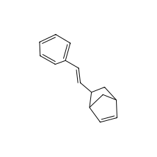 C(=CC1CC2C=CC1C2)c1ccccc1